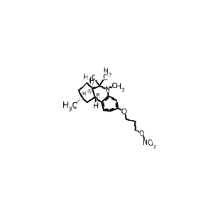 C[C@@H]1CC[C@@H]2[C@@H](C1)c1ccc(OCCCO[N+](=O)[O-])cc1N(C)C2(C)C